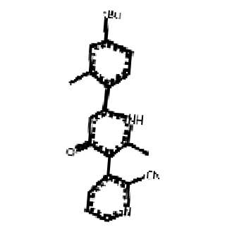 Cc1cc(C(C)(C)C)ccc1-c1cc(=O)c(-c2cccnc2C#N)c(C)[nH]1